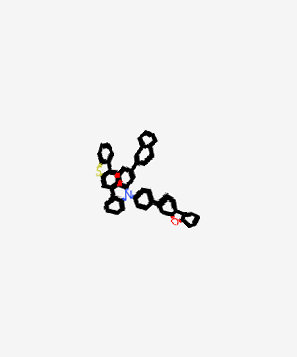 c1cc(-c2ccc3ccccc3c2)cc(N(c2ccc(-c3ccc4c(c3)oc3ccccc34)cc2)c2ccccc2-c2ccc3c(c2)sc2ccccc23)c1